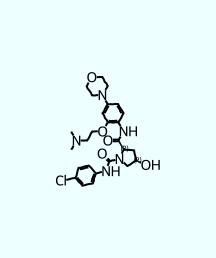 CN(C)CCOc1cc(N2CCOCC2)ccc1NC(=O)[C@H]1C[C@@H](O)CN1C(=O)Nc1ccc(Cl)cc1